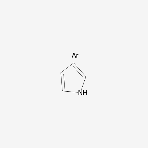 [Ar].c1cc[nH]c1